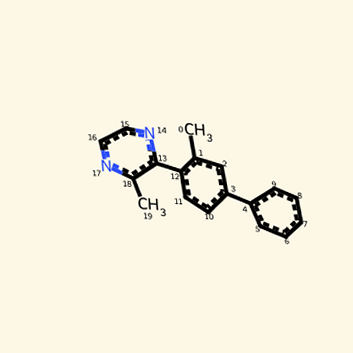 Cc1cc(-c2ccccc2)ccc1-c1nccnc1C